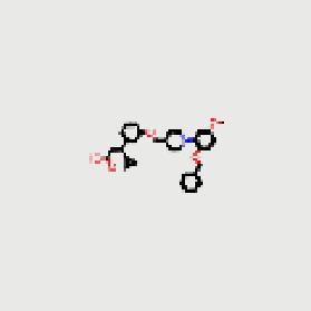 COc1ccc(OCc2ccccc2)c(N2CCC(COc3cccc(C(CC(=O)O)C4CC4)c3)CC2)c1